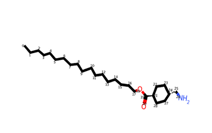 CCCCCCCCCCCCCCCCCCOC(=O)[C@H]1CC[C@H](CN)CC1